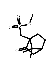 CC1(C)C2CCC1(CS(=O)(=O)OI)C(=O)C2